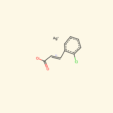 O=C([O-])/C=C/c1ccccc1Cl.[Ag+]